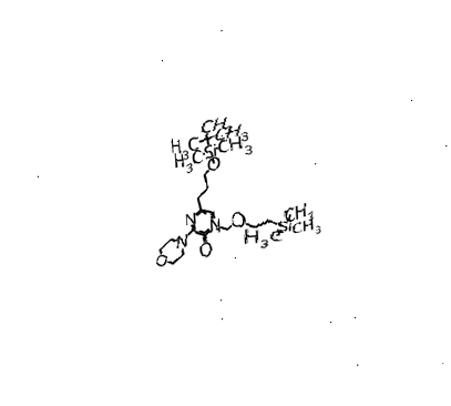 CC(C)(C)[Si](C)(C)OCCCc1cn(COCC[Si](C)(C)C)c(=O)c(N2CCOCC2)n1